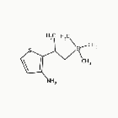 CC(C[Si](C)(C)C)c1sccc1N